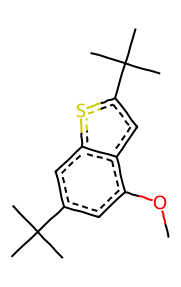 COc1cc(C(C)(C)C)cc2sc(C(C)(C)C)cc12